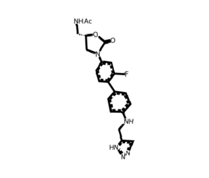 CC(=O)NC[C@H]1CN(c2ccc(-c3ccc(NCc4cnn[nH]4)cc3)c(F)c2)C(=O)O1